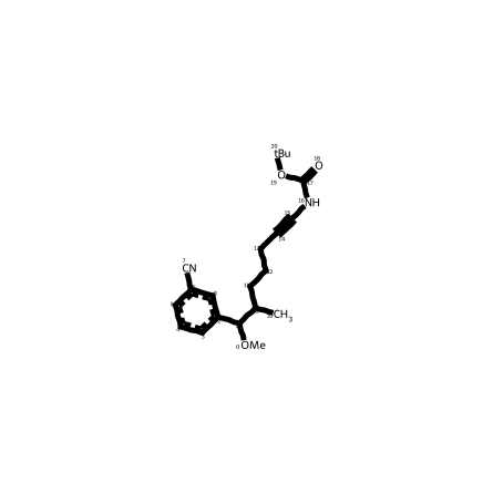 COC(c1cccc(C#N)c1)C(C)CCCC#CNC(=O)OC(C)(C)C